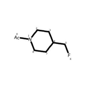 CC(=O)N1CCC(CF)CC1